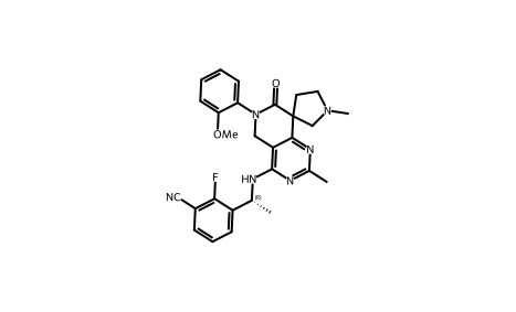 COc1ccccc1N1Cc2c(N[C@H](C)c3cccc(C#N)c3F)nc(C)nc2C2(CCN(C)C2)C1=O